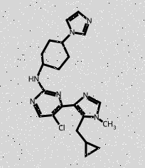 Cn1cnc(-c2nc(NC3CCC(n4ccnc4)CC3)ncc2Cl)c1CC1CC1